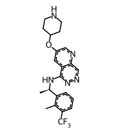 Cc1c([C@@H](C)Nc2nncc3ncc(OC4CCNCC4)cc23)cccc1C(F)(F)F